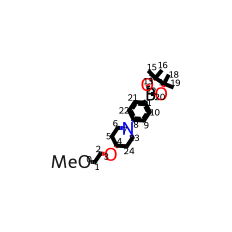 COCCOC1CCN(c2ccc(B3OC(C)(C)C(C)(C)O3)cc2)CC1